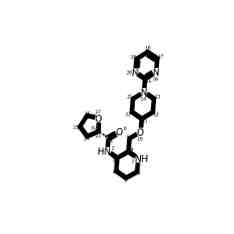 O=C(NC1CCCNC1COC1CCN(c2ncccn2)CC1)[C@@H]1CCCO1